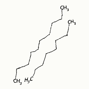 CCCCCCCC.CCCCCCCCCC